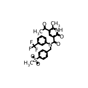 CC(=O)c1cc(C(=O)N(Cc2ccc(S(C)(=O)=O)cc2)c2cccc(C(F)(F)F)c2)c(=O)[nH]c1C